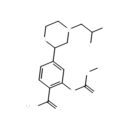 COC(=O)c1ccc(C2CN(CC(F)F)CCN2)cc1NC(=O)OC(C)(C)C